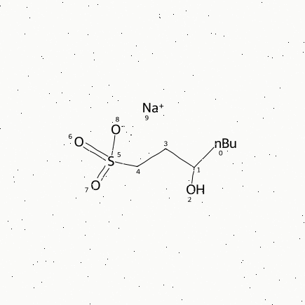 CCCCC(O)CCS(=O)(=O)[O-].[Na+]